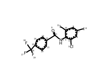 O=C(Nc1c(Cl)cc(I)cc1I)c1ccc(C(F)(F)F)cc1